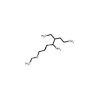 CCCC(CC)C(N)CCCOCC